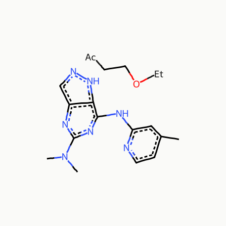 CCOCCC(C)=O.Cc1ccnc(Nc2nc(N(C)C)nc3cn[nH]c23)c1